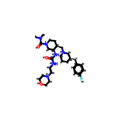 CN(C)C(=O)N1CC[C@@H](CN2CCC[C@@H](Cc3ccc(F)cc3)C2)[C@@H](NC(=O)NCCN2CCOCC2)C1